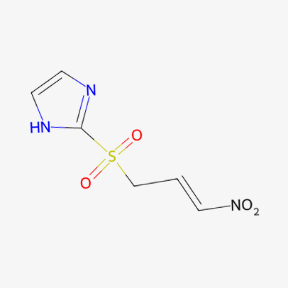 O=[N+]([O-])C=CCS(=O)(=O)c1ncc[nH]1